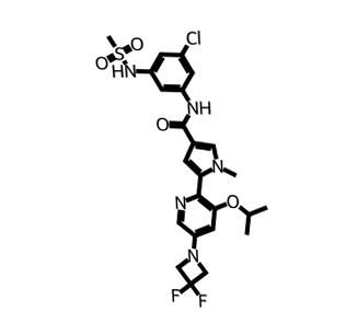 CC(C)Oc1cc(N2CC(F)(F)C2)cnc1-c1cc(C(=O)Nc2cc(Cl)cc(NS(C)(=O)=O)c2)cn1C